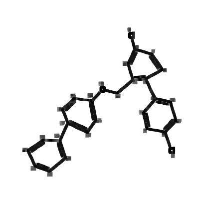 Clc1ccc(-c2ccc(Cl)cc2COc2ccc(-c3[c]cccc3)cc2)cc1